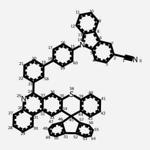 N#Cc1ccc2c(c1)c1ccccc1n2-c1ccc(-c2cccc(-c3nc4ccccc4c4cc5c(cc34)Sc3ccccc3C53c4ccccc4-c4ccccc43)c2)cc1